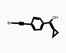 OC(=C1CC1)c1ccc(C#CBr)cc1